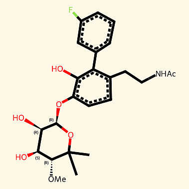 CO[C@@H]1[C@@H](O)[C@@H](O)[C@@H](Oc2ccc(CCNC(C)=O)c(-c3cccc(F)c3)c2O)OC1(C)C